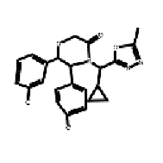 Cc1nnc(C(C2CC2)N2C(=O)COC(c3cccc(Cl)c3)C2c2ccc(Cl)cc2)o1